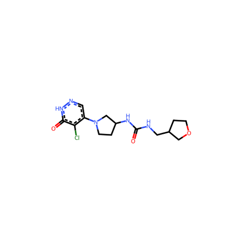 O=C(NCC1CCOC1)NC1CCN(c2cn[nH]c(=O)c2Cl)C1